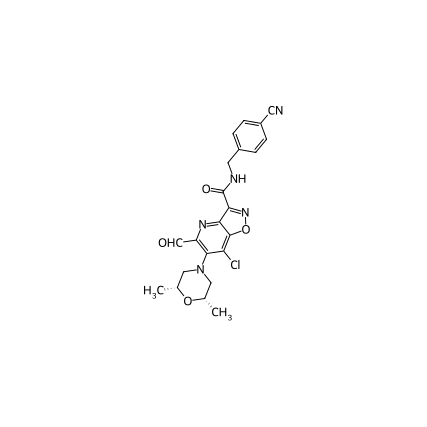 C[C@@H]1CN(c2c(C=O)nc3c(C(=O)NCc4ccc(C#N)cc4)noc3c2Cl)C[C@H](C)O1